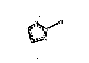 Cln1n[c]cn1